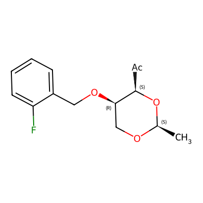 CC(=O)[C@H]1O[C@@H](C)OC[C@H]1OCc1ccccc1F